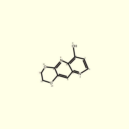 Oc1ccnc2cc3c(nc12)OCCO3